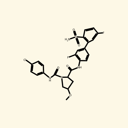 COC1CC(C(=O)Nc2ccc(-c3cc(F)ccc3S(N)(=O)=O)cc2F)N(C(=O)Nc2ccc(Cl)cc2)C1